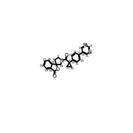 O=C1OC2(CCN(C(=O)C3(c4ccc(-c5cncnc5)cc4)CC3)C2)c2ccccc21